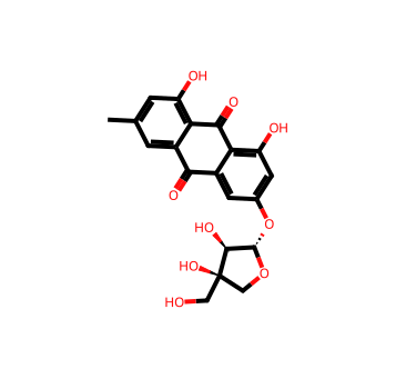 Cc1cc(O)c2c(c1)C(=O)c1cc(O[C@@H]3OC[C@](O)(CO)[C@H]3O)cc(O)c1C2=O